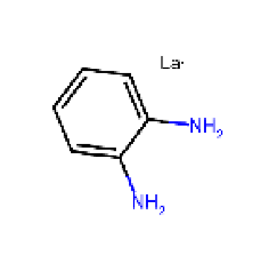 Nc1ccccc1N.[La]